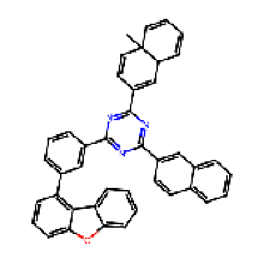 CC12C=CC=CC1C=C(c1nc(-c3cccc(-c4cccc5oc6ccccc6c45)c3)nc(-c3ccc4ccccc4c3)n1)C=C2